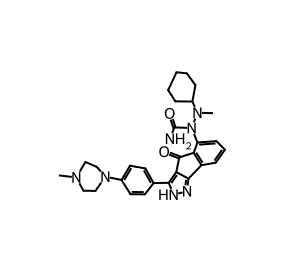 CN1CCN(c2ccc(-c3[nH]nc4c3C(=O)c3c-4cccc3N(C(N)=O)N(C)C3CCCCC3)cc2)CC1